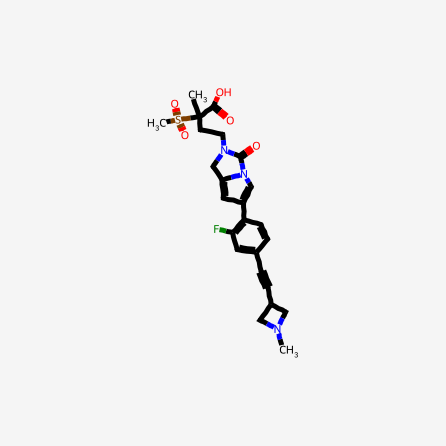 CN1CC(C#Cc2ccc(-c3cc4n(c3)C(=O)N(CCC(C)(C(=O)O)S(C)(=O)=O)C4)c(F)c2)C1